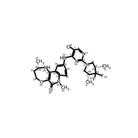 C[C@@H]1CN(c2ncc(Cl)c(Nc3ccc4c(c3)c3c(c(=O)n4C)OCC[C@H](C)N3)n2)C[C@H](C)C1(F)F